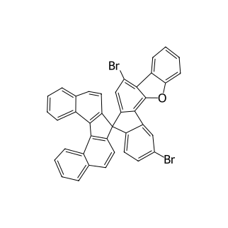 Brc1ccc2c(c1)-c1c(cc(Br)c3c1oc1ccccc13)C21c2ccc3ccccc3c2-c2c1ccc1ccccc21